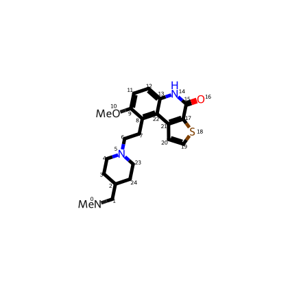 CNCC1CCN(CCc2c(OC)ccc3[nH]c(=O)c4sccc4c23)CC1